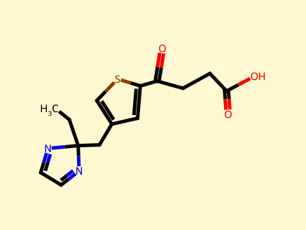 CCC1(Cc2csc(C(=O)CCC(=O)O)c2)N=CC=N1